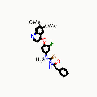 COc1cc2nccc(Oc3ccc(N(C)C(=S)NC(=O)Cc4ccccc4)cc3F)c2cc1OC